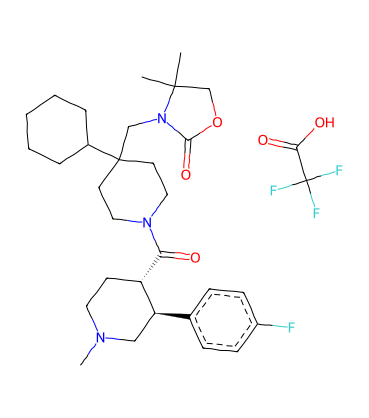 CN1CC[C@H](C(=O)N2CCC(CN3C(=O)OCC3(C)C)(C3CCCCC3)CC2)[C@@H](c2ccc(F)cc2)C1.O=C(O)C(F)(F)F